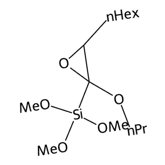 CCCCCCC1OC1(OCCC)[Si](OC)(OC)OC